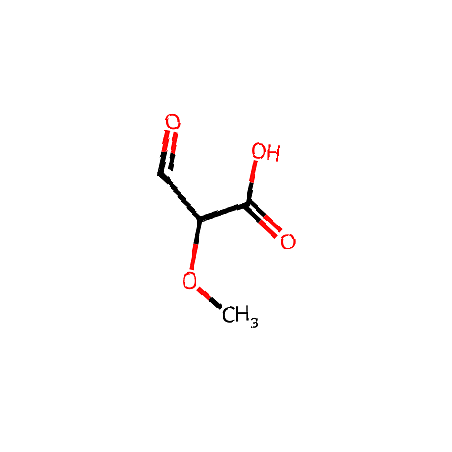 COC(C=O)C(=O)O